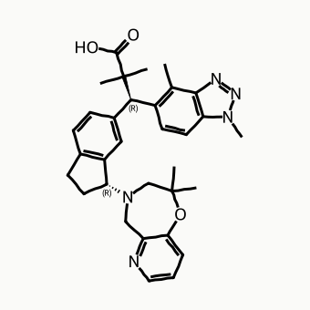 Cc1c([C@@H](c2ccc3c(c2)[C@H](N2Cc4ncccc4OC(C)(C)C2)CC3)C(C)(C)C(=O)O)ccc2c1nnn2C